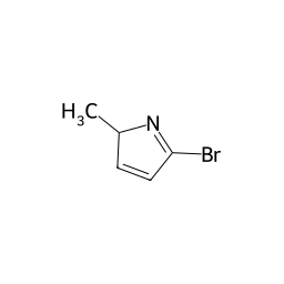 CC1C=CC(Br)=N1